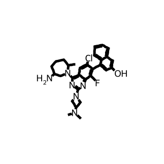 CC1CCCC(N)CN1c1nc(N2CC(N(C)C)C2)nc2c(F)c(-c3cc(O)cc4ccccc34)c(Cl)cc12